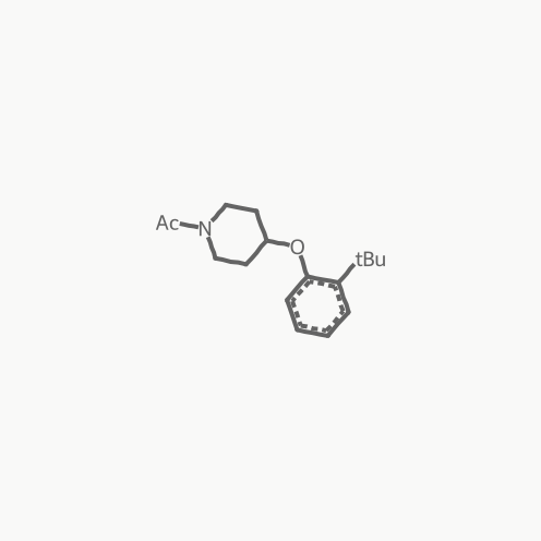 CC(=O)N1CCC(Oc2ccccc2C(C)(C)C)CC1